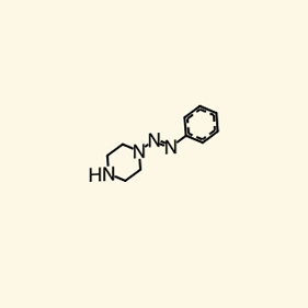 c1ccc(/N=N/N2CCNCC2)cc1